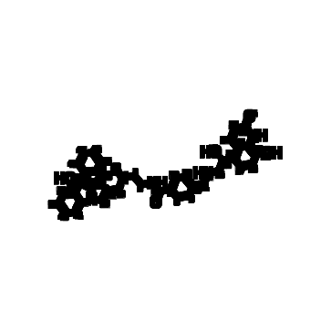 CN(CCNC(=O)c1ccc(CNC[C@H](O)c2ccc(O)c3[nH]c(=O)ccc23)cc1)Cc1cnc(C(O)(c2ccccc2)c2ccccc2)o1